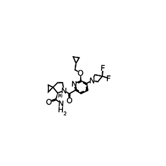 NC(=O)[C@@H]1N(C(=O)c2ccc(N3CC(F)(F)C3)c(OCC3CC3)n2)CCC12CC2